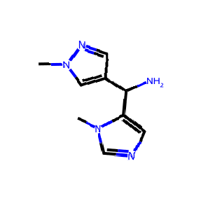 Cn1cc(C(N)c2cncn2C)cn1